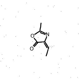 CC=C1N=C(C)OC1=O